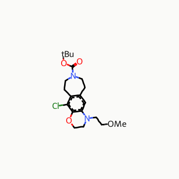 COCCN1CCOc2c1cc1c(c2Cl)CCN(C(=O)OC(C)(C)C)CC1